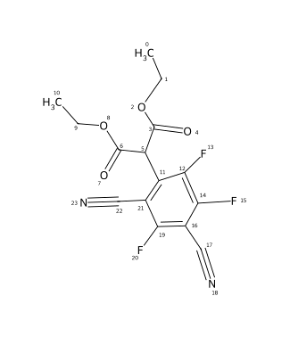 CCOC(=O)C(C(=O)OCC)c1c(F)c(F)c(C#N)c(F)c1C#N